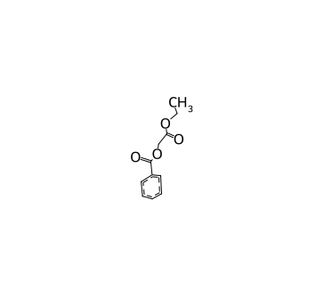 CCOC(=O)COC(=O)c1ccccc1